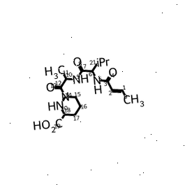 CC=CC(=O)NC(C(=O)NC(C)C(=O)N1CCCC(C(=O)O)N1)C(C)C